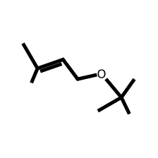 CC(C)=CCOC(C)(C)C